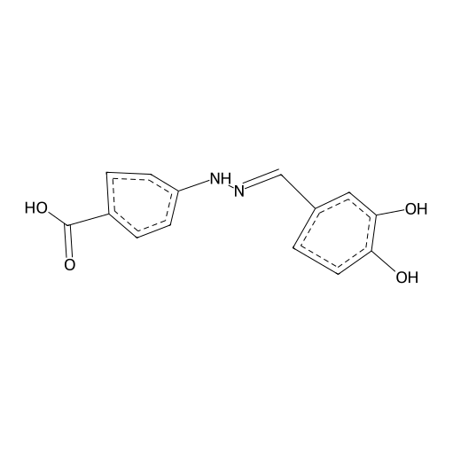 O=C(O)c1ccc(N/N=C/c2ccc(O)c(O)c2)cc1